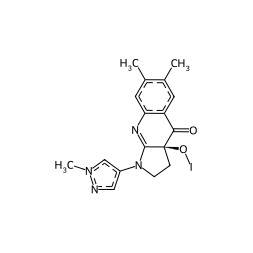 Cc1cc2c(cc1C)C(=O)[C@]1(OI)CCN(c3cnn(C)c3)C1=N2